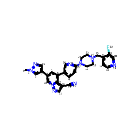 Cn1cc(-c2cc(-c3ccc(N4CCN(Cc5ccncc5F)CC4)nc3)c3c(C#N)cnn3c2)cn1